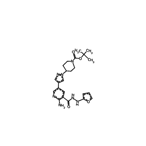 CC(C)(C)OC(=O)N1CCC(n2cc(-c3cnc(N)c(C(=O)NNc4ccco4)c3)cn2)CC1